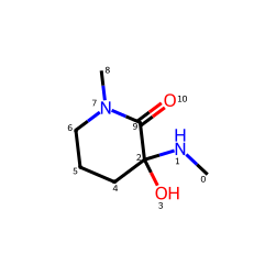 CNC1(O)CCCN(C)C1=O